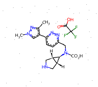 Cc1nn(C)cc1-c1ccc(CN(C(=O)O)[C@H]2[C@@H]3CNC[C@@H]32)nn1.O=C(O)C(F)(F)F